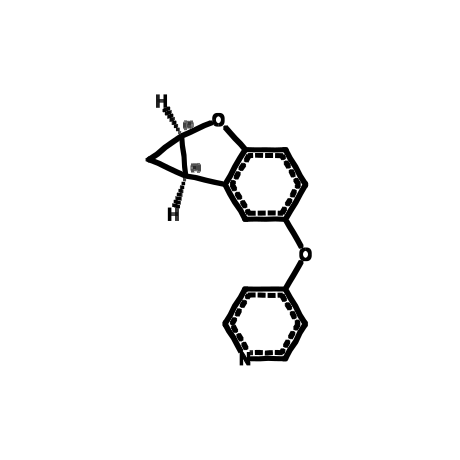 c1cc(Oc2ccc3c(c2)[C@H]2C[C@H]2O3)ccn1